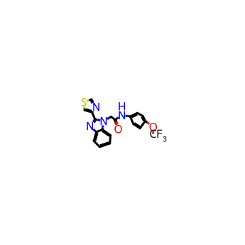 O=C(Cn1c(-c2cscn2)nc2ccccc21)Nc1ccc(OC(F)(F)F)cc1